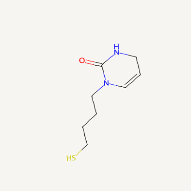 O=C1NCC=CN1CCCCS